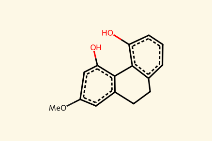 COc1cc(O)c2c(c1)CCc1cccc(O)c1-2